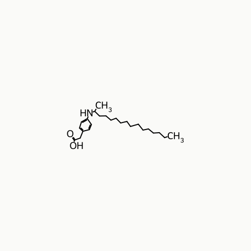 CCCCCCCCCCCCCCC(C)Nc1ccc(CC(=O)O)cc1